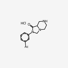 CC(=O)c1cccc(N2CN3CCNCC3C2=O)c1.Cl